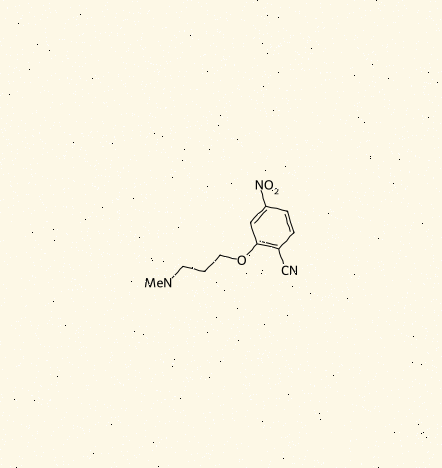 CNCCCOc1cc([N+](=O)[O-])ccc1C#N